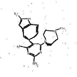 Cc1cc2cc(-c3c(N)nc(N)nc3N3CCN(C)CC3)ccc2[nH]1